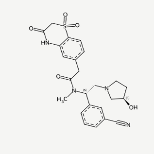 CN(C(=O)Cc1ccc2c(c1)NC(=O)CS2(=O)=O)[C@H](CN1CC[C@@H](O)C1)c1cccc(C#N)c1